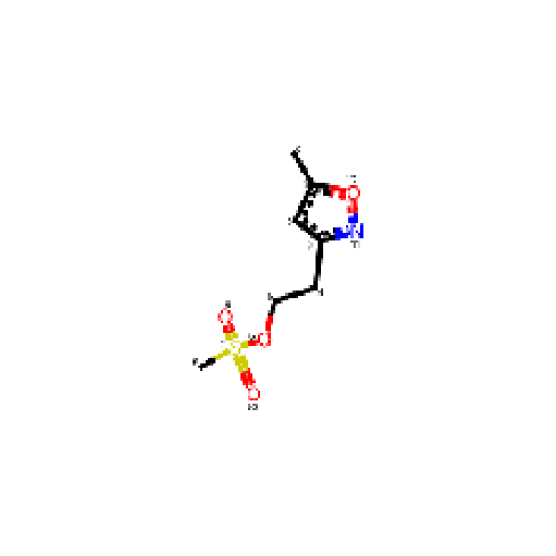 Cc1cc(CCOS(C)(=O)=O)no1